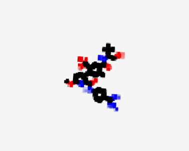 COc1ccc(-c2cc(C)c(C(=O)NC(CO)C(C)(C)C)cc2C(=O)O)c(C(=O)Nc2ccc(C(=N)N)cc2)n1